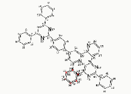 c1ccc(-c2cc(-c3ccccc3)nc(-c3ccc(-c4cc(-c5ccccn5)nc(-c5ncccc5-c5cc(-c6ccccc6)nc(-c6ccccc6)n5)c4)cc3)n2)cc1